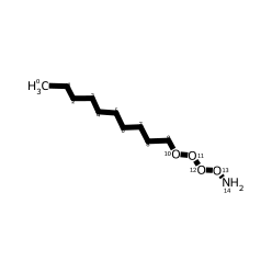 CCCCCCCCCCOOOON